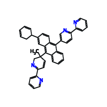 CC1(c2c3ccccc3c(-c3ccc(-c4ccccn4)nc3)c3ccc(C4C=CC=CC4)cc23)C=CC(c2ccccn2)=NC1